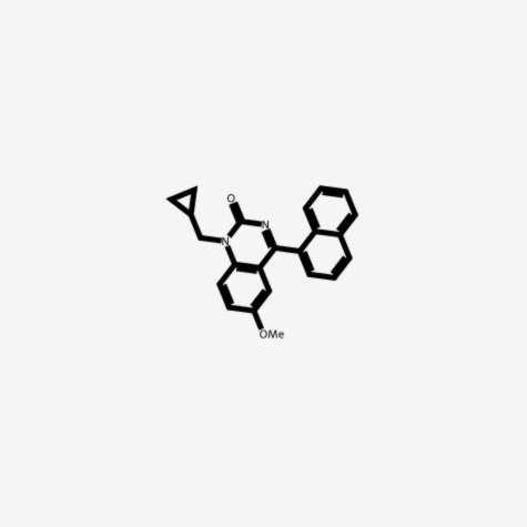 COc1ccc2c(c1)c(-c1cccc3ccccc13)nc(=O)n2CC1CC1